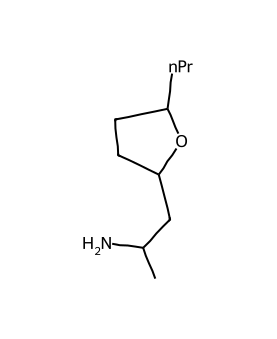 CCCC1CCC(CC(C)N)O1